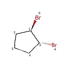 Br[C@@H]1CCC[C@H]1Br